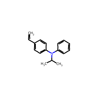 C=Cc1ccc(N(c2ccccc2)C(C)C)cc1